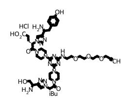 C#CCOCCOCCOCCNc1nc(N2CCN(C(=O)C([C@@H](C)CC)n3cc(C(N)CO)nn3)CC2)nc(N2CCN(C(=O)[C@H](CCC(=O)O)n3cc(C(N)Cc4ccc(O)cc4)nn3)CC2)n1.Cl